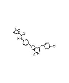 Cc1ccc(C(=O)Nc2ccc(-c3cc4c(s3)c(=O)ncn4Cc3ccc(Cl)cc3)cc2)o1